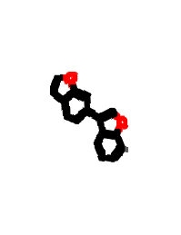 [c]1cccc2c(-c3ccc4ccoc4c3)coc12